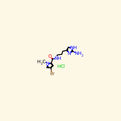 Cl.Cn1cc(Br)cc1C(=O)NCCCc1c[nH]c(N)n1